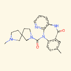 Cc1ccc2c(c1)C(=O)Nc1cccnc1N2C(=O)N1CCC2(CCN(C)C2)C1